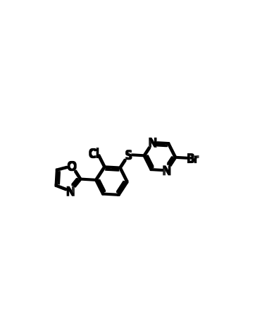 Clc1c(Sc2cnc(Br)cn2)cccc1-c1ncco1